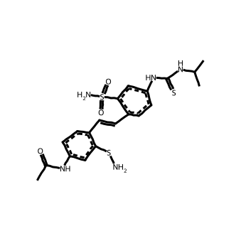 CC(=O)Nc1ccc(/C=C/c2ccc(NC(=S)NC(C)C)cc2S(N)(=O)=O)c(SN)c1